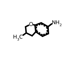 CC1COc2cc(N)ccc2C1